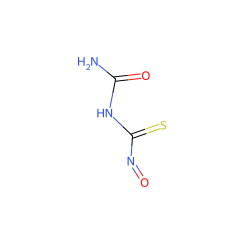 NC(=O)NC(=S)N=O